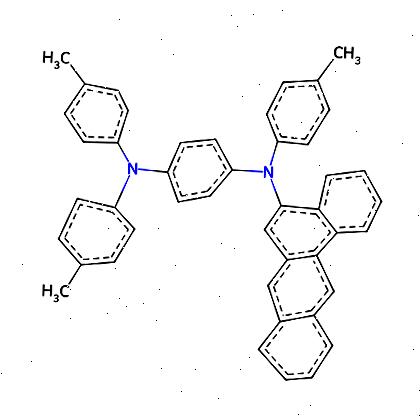 Cc1ccc(N(c2ccc(C)cc2)c2ccc(N(c3ccc(C)cc3)c3cc4cc5ccccc5cc4c4ccccc34)cc2)cc1